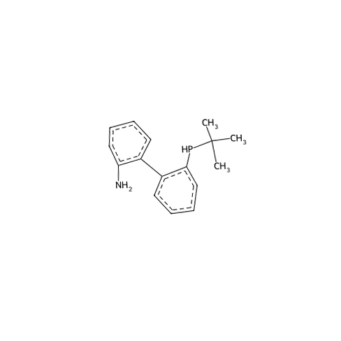 CC(C)(C)Pc1ccccc1-c1ccccc1N